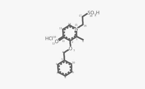 Cc1c(OCc2ccccc2)c(=O)ccn1CCS(=O)(=O)O.Cl